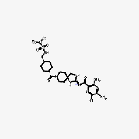 CCN(CC)S(=O)(=O)NC[C@H]1CC[C@H](C(=O)N2CCC3(CC2)CN/C(=N\C(=O)c2nc(Cl)c(N)nc2N)N3)CC1